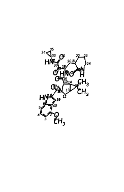 COc1cccc2[nH]c(C(=O)N3CC4C(C3C(=O)NC(CC3CCCNC3=O)C(=O)C(=O)NC3CC3)C4(C)C)cc12